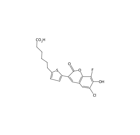 O=C(O)CCCCCc1ccc(-c2cc3cc(Cl)c(O)c(F)c3oc2=O)s1